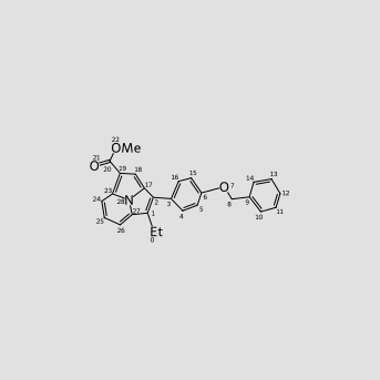 CCc1c(-c2ccc(OCc3ccccc3)cc2)c2cc(C(=O)OC)c3cccc1n32